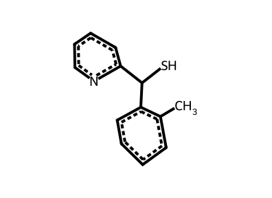 Cc1ccccc1C(S)c1ccccn1